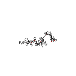 Cc1nc(NCCCCCC(=O)N(C)CCN2CCC(OC(=O)Nc3ccccc3-c3ccccc3)CC2)sc1C(=O)N(C)CCN(C)C(=O)CO[C@H]1Cc2ccccc2C12CCN(CC[C@]1(c3ccc(F)cc3)CN(C(=O)c3cc(C(F)(F)F)cc(C(F)(F)F)c3)CO1)CC2